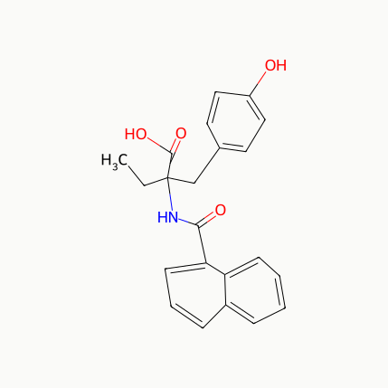 CCC(Cc1ccc(O)cc1)(NC(=O)c1cccc2ccccc12)C(=O)O